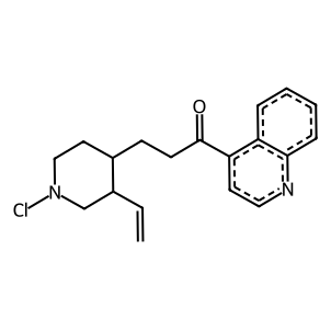 C=CC1CN(Cl)CCC1CCC(=O)c1ccnc2ccccc12